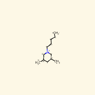 [CH2]CCCCN1CC(C)CC(C)C1